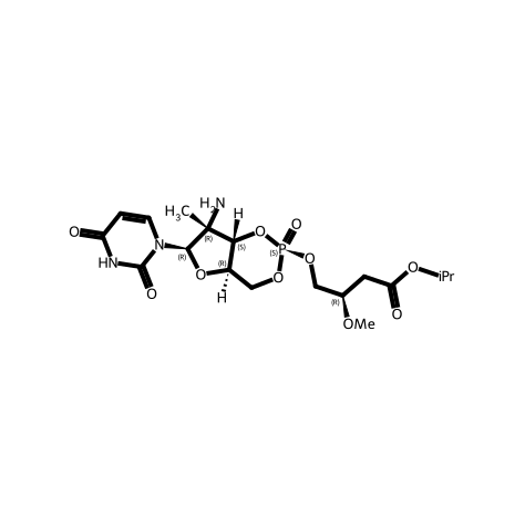 CO[C@@H](CO[P@@]1(=O)OC[C@H]2O[C@@H](n3ccc(=O)[nH]c3=O)[C@](C)(N)[C@@H]2O1)CC(=O)OC(C)C